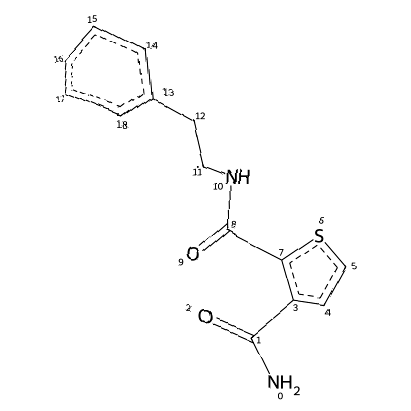 NC(=O)c1ccsc1C(=O)N[CH]Cc1ccccc1